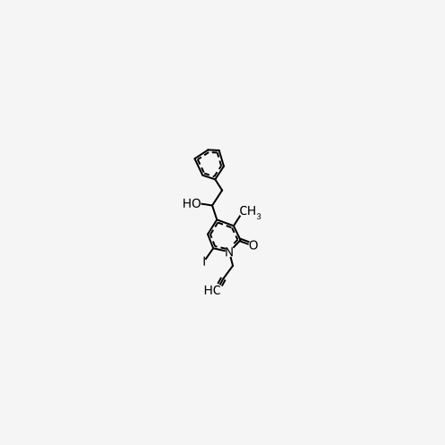 C#CCn1c(I)cc(C(O)Cc2ccccc2)c(C)c1=O